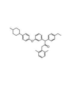 CCc1ccc(C(C(=O)Cc2c(C)cccc2C)c2cccc(Oc3ccc(C4CCC(C)CC4)cc3)c2)cc1